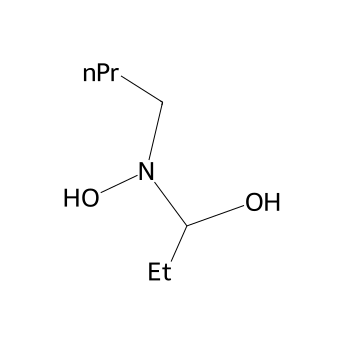 CCCCN(O)C(O)CC